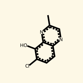 Cc1cnc2ccc(Cl)c(O)c2n1